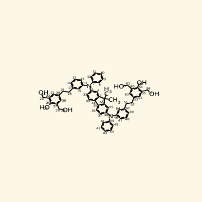 CC1(C)c2cc(N(c3ccccc3)c3cccc(CCc4cc(CO)c(O)c(CO)c4)c3)ccc2-c2ccc(N(c3ccccc3)c3cccc(CCc4cc(CO)c(O)c(CO)c4)c3)cc21